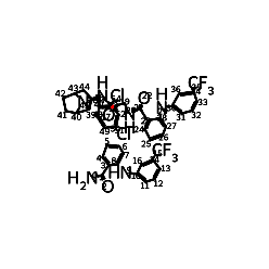 NC(=O)c1ccccc1Nc1cccc(C(F)(F)F)c1.O=C(CNC(=O)c1ccccc1Nc1cccc(C(F)(F)F)c1)NC1CC2CCC(C1)N2Cc1ccc(Cl)cc1Cl